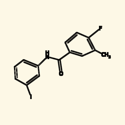 Cc1cc(C(=O)Nc2cccc(I)c2)ccc1F